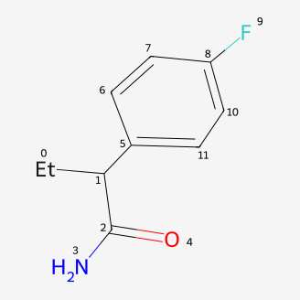 CCC(C(N)=O)c1ccc(F)cc1